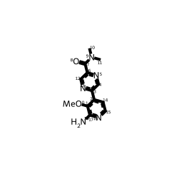 COc1c(-c2cnc(C(=O)N(C)C)cn2)ccnc1N